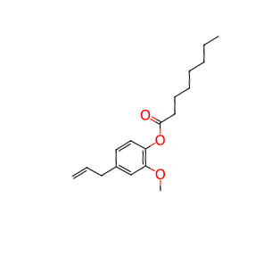 C=CCc1ccc(OC(=O)CCCCCCC)c(OC)c1